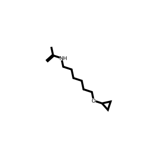 C=C(C)NCCCCCCOC1CC1